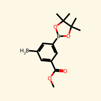 Bc1cc(B2OC(C)(C)C(C)(C)O2)cc(C(=O)OC)c1